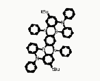 CC(C)(C)c1cc2c3c(c1)N(c1ccccc1)c1cc4c(cc1B3c1ccccc1N2c1ccccc1)N(c1ccccc1)c1cc(C(C)(C)C)cc2c1B4c1ccccc1N2c1ccccc1